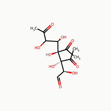 CC(=O)C(O)[C@@H](O)[C@](O)(C(C)=O)[C@@](O)(C(C)=O)[C@@H](O)C=O